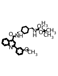 COc1cccc(-c2cc(C(=O)NC[C@H]3CC[C@H](CNC(=O)OC(C)(C)C)CC3)c3ccccc3n2)c1